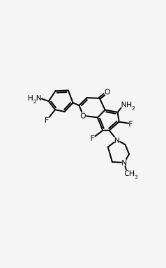 CN1CCN(c2c(F)c(N)c3c(=O)cc(-c4ccc(N)c(F)c4)oc3c2F)CC1